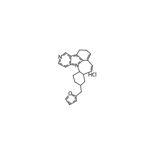 C1=CC2CC(Cc3ccco3)CCC2n2c3c(c4cnccc42)CCC=C13.Cl